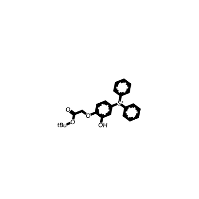 CC(C)(C)OC(=O)COc1ccc([S+](c2ccccc2)c2ccccc2)cc1O